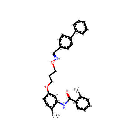 O=C(O)c1ccc(OCCCON=Cc2ccc(-c3ccccc3)cc2)cc1NC(=O)c1ccccc1C(F)(F)F